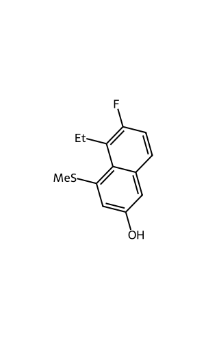 CCc1c(F)ccc2cc(O)cc(SC)c12